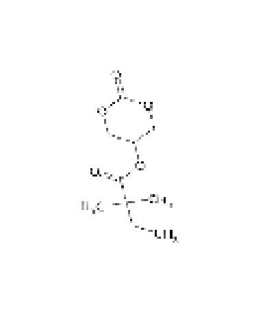 CCC(C)(C)C(=O)OC1COC(=O)OC1